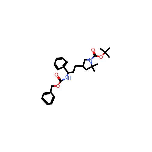 CC(C)(C)OC(=O)N1CC(CCC(NC(=O)OCc2ccccc2)c2ccccc2)CC1(C)C